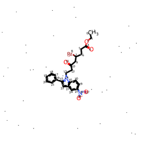 CCOC(=O)CCC(Br)CC(=O)CCn1c(-c2ccccc2)cc2cc([N+](=O)[O-])ccc21